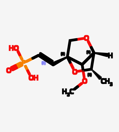 COC1[C@@H]2OC[C@@]1(/C=C/P(=O)(O)O)O[C@H]2C